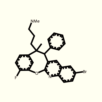 CNCCCC1(C)c2ccc(F)c(c2)Oc2nc3ccc(Br)cc3cc2C1c1ccccc1